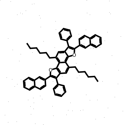 CCCCCCc1cc2c(-c3ccccc3)c(-c3ccc4ccccc4c3)oc2c2c(CCCCCC)cc3c(-c4ccccc4)c(-c4ccc5ccccc5c4)oc3c12